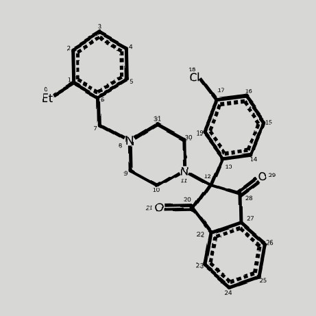 CCc1ccccc1CN1CCN(C2(c3cccc(Cl)c3)C(=O)c3ccccc3C2=O)CC1